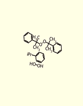 CC(C)(OOC(C)(C)c1ccccc1)c1ccccc1.CC(C)c1ccccc1.OO